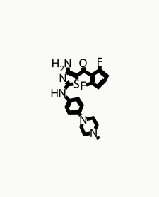 CN1CCN(c2ccc(Nc3nc(N)c(C(=O)c4c(F)cccc4F)s3)cc2)CC1